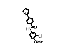 COc1ccc(NC(=O)c2ccc(-c3ccccn3)cc2)cc1Cl